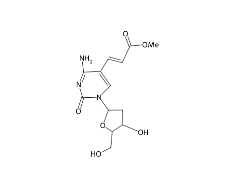 COC(=O)/C=C/c1cn(C2CC(O)C(CO)O2)c(=O)nc1N